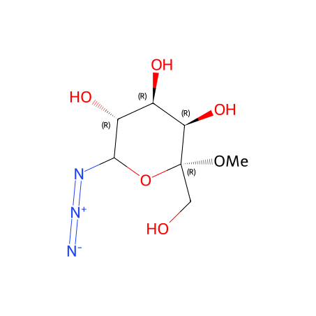 CO[C@]1(CO)OC(N=[N+]=[N-])[C@H](O)[C@@H](O)[C@H]1O